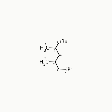 [CH2]C(C)CC(C)CC(C)CCCC